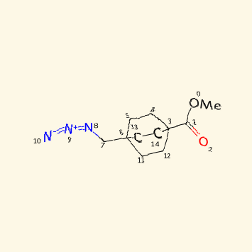 COC(=O)C12CCC(CN=[N+]=[N-])(CC1)CC2